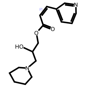 O=C(/C=C\c1cccnc1)OCC(O)CN1CCCCC1